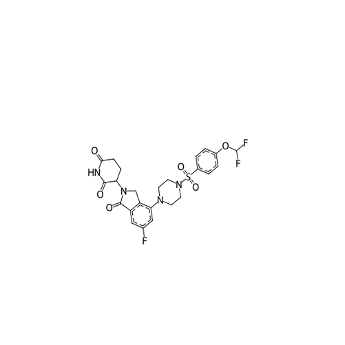 O=C1CCC(N2Cc3c(cc(F)cc3N3CCN(S(=O)(=O)c4ccc(OC(F)F)cc4)CC3)C2=O)C(=O)N1